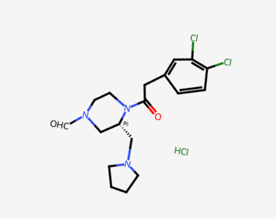 Cl.O=CN1CCN(C(=O)Cc2ccc(Cl)c(Cl)c2)[C@H](CN2CCCC2)C1